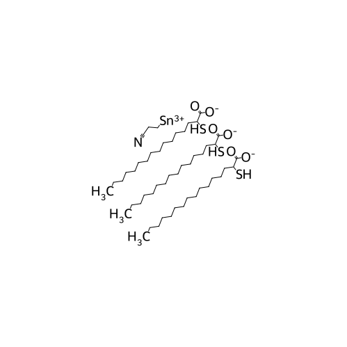 CCCCCCCCCCCCCCC(S)C(=O)[O-].CCCCCCCCCCCCCCC(S)C(=O)[O-].CCCCCCCCCCCCCCC(S)C(=O)[O-].N#CC[CH2][Sn+3]